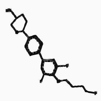 CCCC1CCC(c2ccc(-c3cc(F)c(OCCCCF)c(F)c3)cc2)OC1